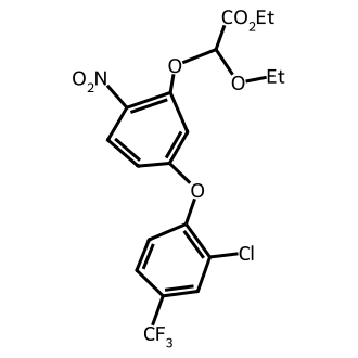 CCOC(=O)C(OCC)Oc1cc(Oc2ccc(C(F)(F)F)cc2Cl)ccc1[N+](=O)[O-]